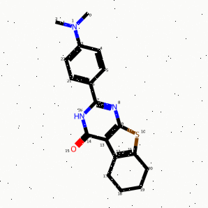 CN(C)c1ccc(-c2nc3sc4c(c3c(=O)[nH]2)CCCC4)cc1